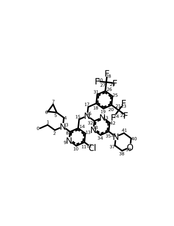 CCCN(CC1CC1)c1ncc(Cl)cc1CN(Cc1cc(C(F)(F)F)cc(C(F)(F)F)c1)c1ncc(N2CCOCC2)cn1